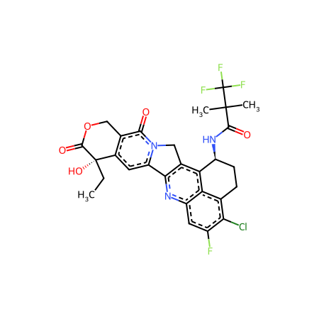 CC[C@@]1(O)C(=O)OCc2c1cc1n(c2=O)Cc2c-1nc1cc(F)c(Cl)c3c1c2[C@@H](NC(=O)C(C)(C)C(F)(F)F)CC3